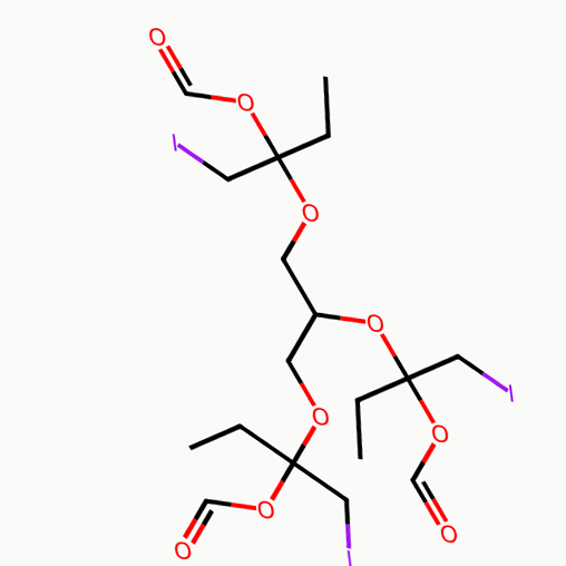 CCC(CI)(OC=O)OCC(COC(CC)(CI)OC=O)OC(CC)(CI)OC=O